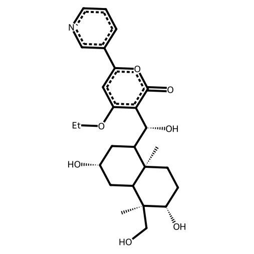 CCOc1cc(-c2cccnc2)oc(=O)c1[C@H](O)C1C[C@@H](O)CC2[C@]1(C)CC[C@H](O)[C@@]2(C)CO